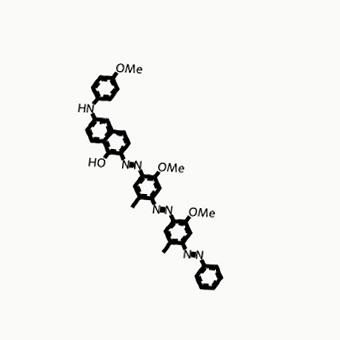 COc1ccc(Nc2ccc3c(O)c(N=Nc4cc(C)c(N=Nc5cc(C)c(N=Nc6ccccc6)cc5OC)cc4OC)ccc3c2)cc1